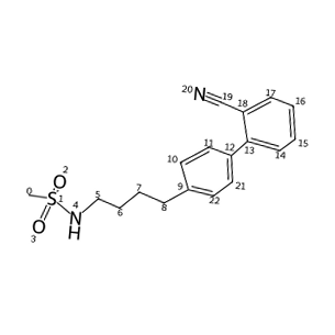 CS(=O)(=O)NCCCCc1ccc(-c2ccccc2C#N)cc1